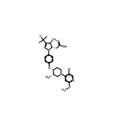 COc1cc(N2CC[C@@H](Oc3ccc(N4N=C(C(F)(F)F)[C@@H](C)[C@@H]4CC(=O)O)cc3)[C@@H](C)C2)c(Cl)cn1